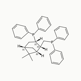 CC1(C)[C@H]2C[C@@H]1[C@@H](CP(c1ccccc1)c1ccccc1)[C@@H](P(c1ccccc1)c1ccccc1)C2